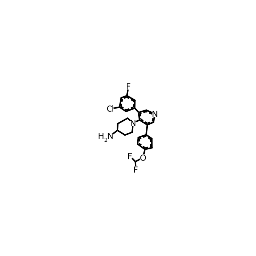 NC1CCN(c2c(-c3ccc(OC(F)F)cc3)cncc2-c2cc(F)cc(Cl)c2)CC1